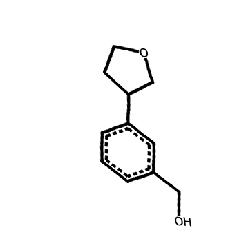 OCc1cccc(C2CCOC2)c1